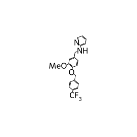 COc1cc(CNc2ccccn2)ccc1OCc1ccc(C(F)(F)F)cc1